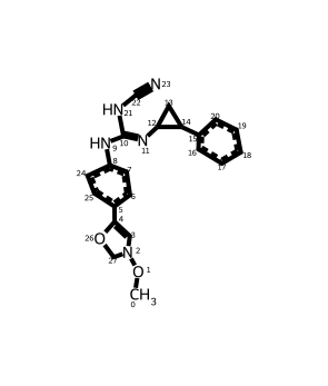 CON1C=C(c2ccc(NC(=NC3CC3c3ccccc3)NC#N)cc2)OC1